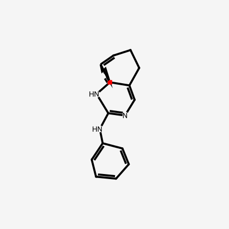 C1=CC2=CCCC3=CN=C(Nc4ccccc4)NC23C=C1